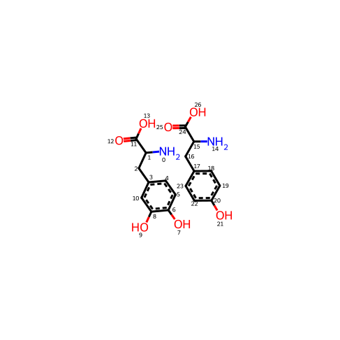 NC(Cc1ccc(O)c(O)c1)C(=O)O.NC(Cc1ccc(O)cc1)C(=O)O